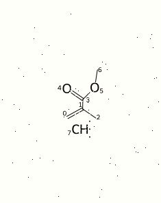 C=C(C)C(=O)OC.[CH]